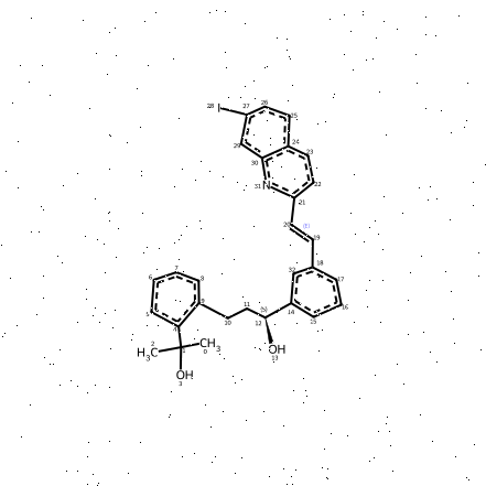 CC(C)(O)c1ccccc1CC[C@H](O)c1cccc(/C=C/c2ccc3ccc(I)cc3n2)c1